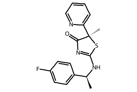 C[C@H](NC1=NC(=O)[C@@](C)(c2ccccn2)S1)c1ccc(F)cc1